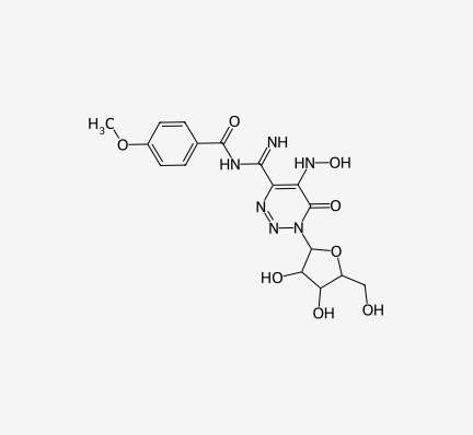 COc1ccc(C(=O)NC(=N)c2nnn(C3OC(CO)C(O)C3O)c(=O)c2NO)cc1